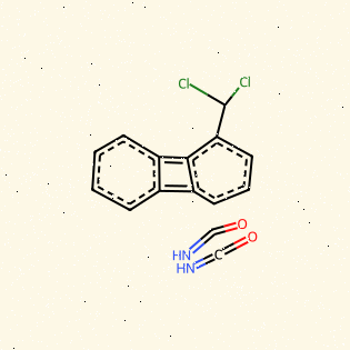 ClC(Cl)c1cccc2c1=c1ccccc1=2.N=C=O.N=C=O